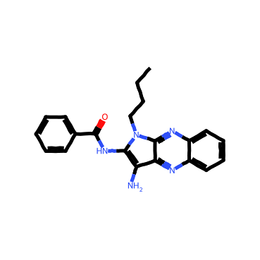 CCCCn1c(NC(=O)c2ccccc2)c(N)c2nc3ccccc3nc21